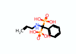 C=CCNC(c1ccccc1)(P(=O)(O)O)P(=O)(O)O